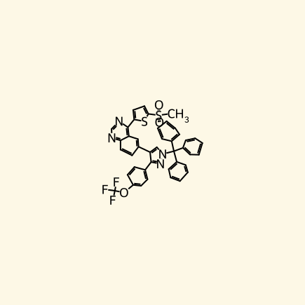 CS(=O)(=O)c1ccc(-c2ncnc3ccc(-c4cn(C(c5ccccc5)(c5ccccc5)c5ccccc5)nc4-c4ccc(OC(F)(F)F)cc4)cc23)s1